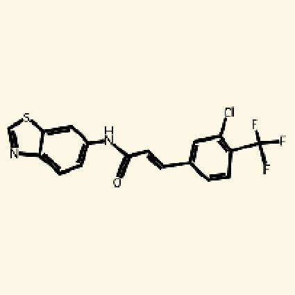 O=C(/C=C/c1ccc(C(F)(F)F)c(Cl)c1)Nc1ccc2ncsc2c1